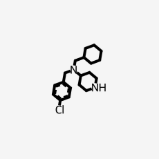 Clc1ccc(CN(CC2CCCCC2)C2CCNCC2)cc1